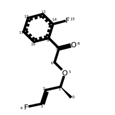 C[C@@H](C=CF)OCC(=O)c1ccccc1F